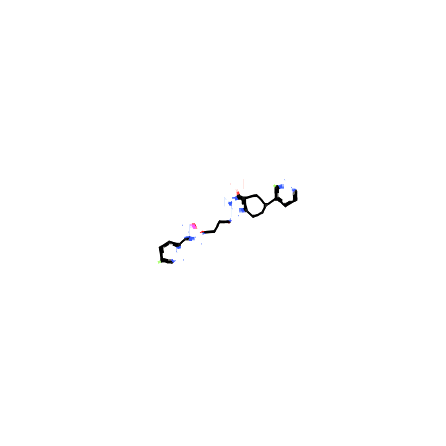 O=C(CCc1nc(-c2ccc(F)cn2)no1)n1nc(O)c2c1CCC(c1cccnc1F)C2